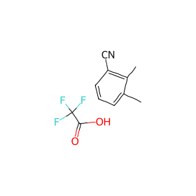 Cc1cccc(C#N)c1C.O=C(O)C(F)(F)F